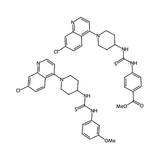 COC(=O)c1ccc(NC(=S)NC2CCN(c3ccnc4cc(Cl)ccc34)CC2)cc1.COc1cccc(NC(=S)NC2CCN(c3ccnc4cc(Cl)ccc34)CC2)c1